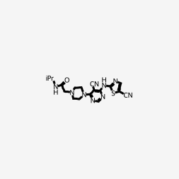 CC(C)NC(=O)CN1CCN(c2ncnc(Nc3ncc(C#N)s3)c2C#N)CC1